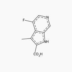 Cc1c(C(=O)O)[nH]c2cncc(F)c12